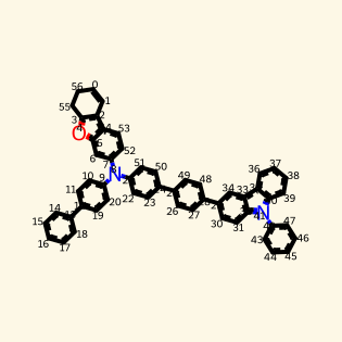 C1=Cc2c(oc3cc(N(c4ccc(-c5ccccc5)cc4)c4ccc(-c5ccc(-c6ccc7c(c6)c6ccccc6n7-c6ccccc6)cc5)cc4)ccc23)CC1